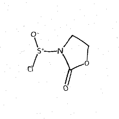 O=C1OCCN1[S+]([O-])Cl